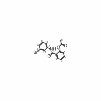 CC(=O)Oc1ccccc1C(=O)Nc1cccc(Br)c1